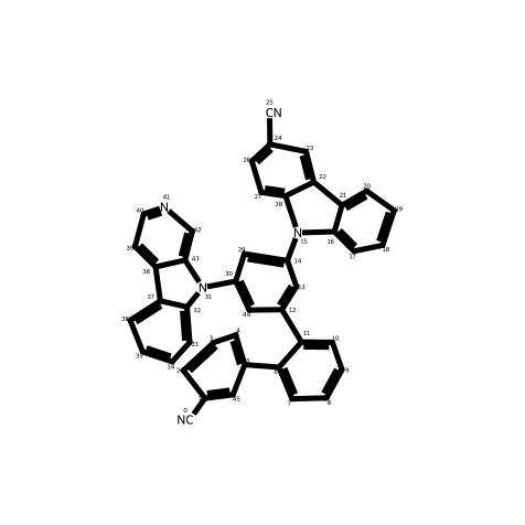 N#Cc1cccc(-c2ccccc2-c2cc(-n3c4ccccc4c4cc(C#N)ccc43)cc(-n3c4ccccc4c4ccncc43)c2)c1